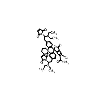 CCN(CC)C(Cc1ccc2c(c1)[Si]1(CCCCC1)c1cc(CC(N(CC)CC)N3C(=O)C=CC3=O)ccc1C21OC(=O)c2cc(Cl)c(C(N)=O)cc21)N1C(=O)C=CC1=O